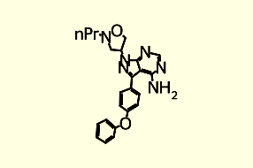 CCCN1CC(n2nc(-c3ccc(Oc4ccccc4)cc3)c3c(N)ncnc32)CO1